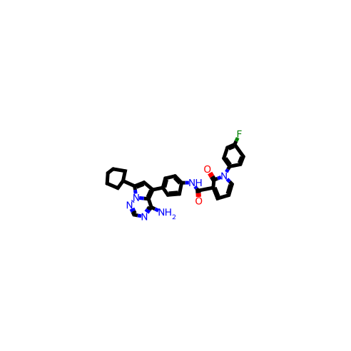 Nc1ncnn2c(C3CCCCC3)cc(-c3ccc(NC(=O)c4cccn(-c5ccc(F)cc5)c4=O)cc3)c12